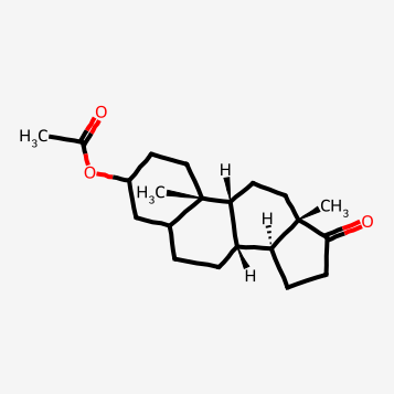 CC(=O)OC1CC[C@@]2(C)C(CC[C@@H]3[C@H]2CC[C@]2(C)C(=O)CC[C@@H]32)C1